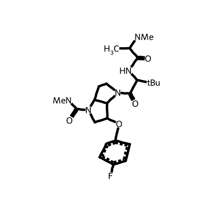 CNC(=O)N1CC(Oc2ccc(F)cc2)C2C1CCN2C(=O)C(NC(=O)C(C)NC)C(C)(C)C